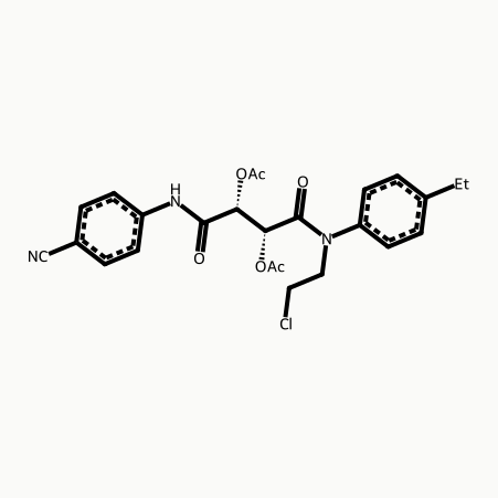 CCc1ccc(N(CCCl)C(=O)[C@H](OC(C)=O)[C@@H](OC(C)=O)C(=O)Nc2ccc(C#N)cc2)cc1